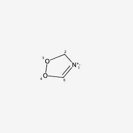 C1=[N+]COO1